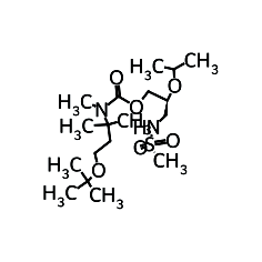 CC(C)O[C@@H](CNS(C)(=O)=O)COC(=O)N(C)C(C)(C)CCOC(C)(C)C